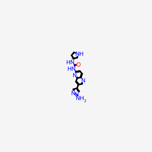 Nn1cc(-c2cnc3ccc(NC(=O)N[C@@H]4CCNC4)nc3c2)cn1